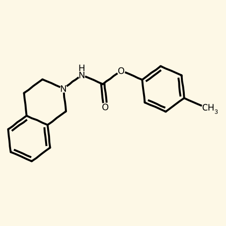 Cc1ccc(OC(=O)NN2CCc3ccccc3C2)cc1